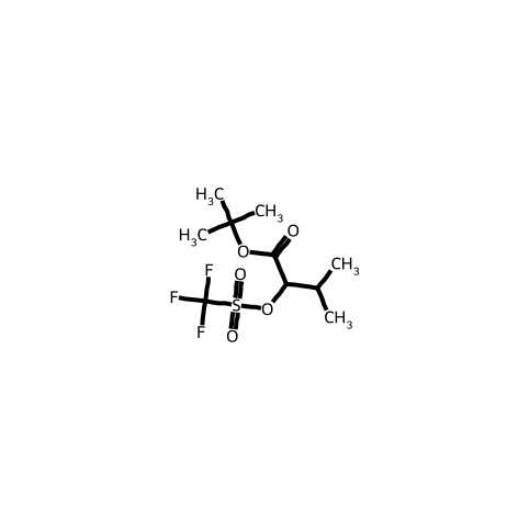 CC(C)C(OS(=O)(=O)C(F)(F)F)C(=O)OC(C)(C)C